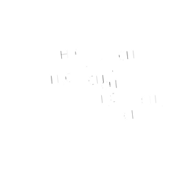 CC(C)(C)CC(C)(C)CC(C)(C)Cl